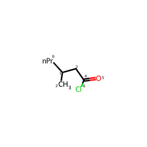 CCCC(C)CC(=O)Cl